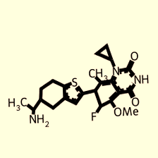 COC1=c2c(=O)[nH]c(=O)n(C3CC3)c2=C(C)C(c2cc3c(s2)CCC(C(C)N)C3)C1F